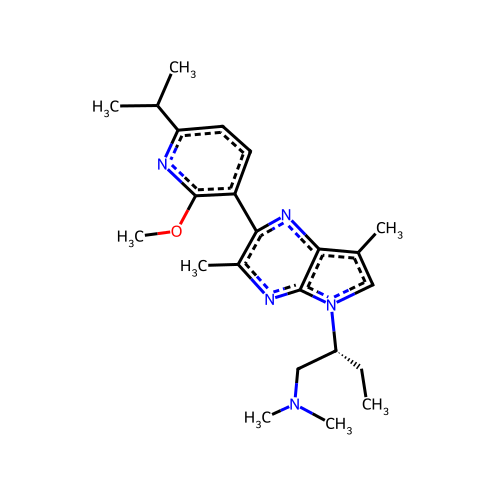 CC[C@H](CN(C)C)n1cc(C)c2nc(-c3ccc(C(C)C)nc3OC)c(C)nc21